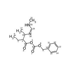 CCC(C(=O)OC(=O)OCc1ccccc1)C(C)/N=C\NC